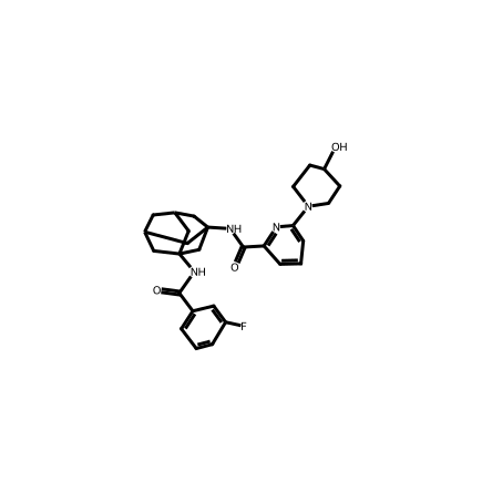 O=C(NC12CC3CC(C1)CC(NC(=O)c1cccc(N4CCC(O)CC4)n1)(C3)C2)c1cccc(F)c1